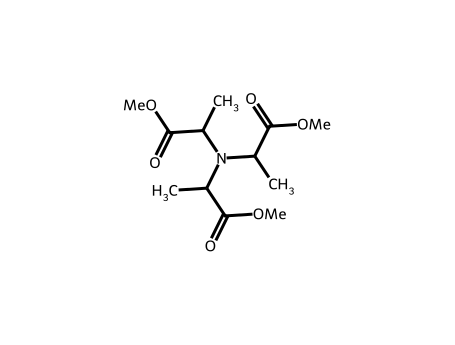 COC(=O)C(C)N(C(C)C(=O)OC)C(C)C(=O)OC